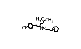 CC(C)CCC(/C=C/c1ccc(Cl)cc1)=N\OCCCN1CCCCC1